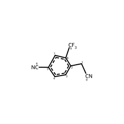 N#CCc1ccc(C#N)cc1C(F)(F)F